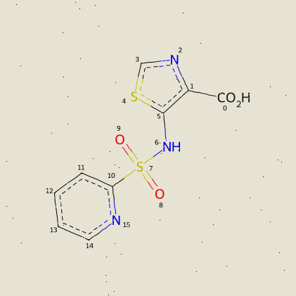 O=C(O)c1ncsc1NS(=O)(=O)c1ccccn1